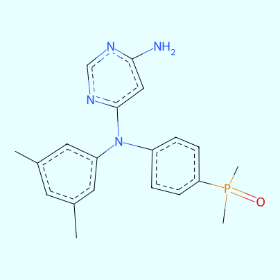 Cc1cc(C)cc(N(c2ccc(P(C)(C)=O)cc2)c2cc(N)ncn2)c1